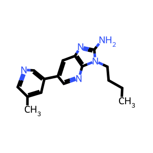 CCCCn1c(N)nc2cc(-c3cncc(C)c3)cnc21